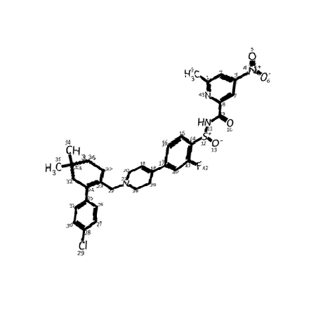 Cc1cc([N+](=O)[O-])cc(C(=O)N[S+]([O-])c2ccc(C3=CCN(CC4=C(c5ccc(Cl)cc5)CC(C)(C)CC4)CC3)cc2F)n1